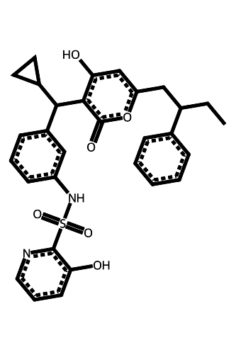 CCC(Cc1cc(O)c(C(c2cccc(NS(=O)(=O)c3ncccc3O)c2)C2CC2)c(=O)o1)c1ccccc1